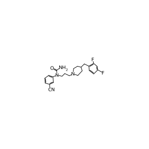 N#Cc1cccc(N(CCCN2CCC(Cc3ccc(F)cc3F)CC2)C(N)=O)c1